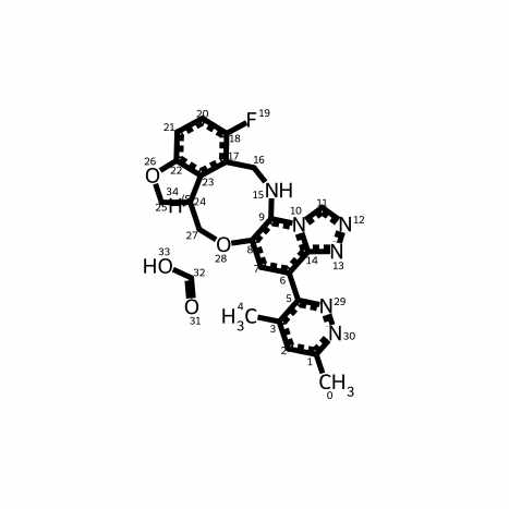 Cc1cc(C)c(-c2cc3c(n4cnnc24)NCc2c(F)ccc4c2[C@@H](CO4)CO3)nn1.O=CO